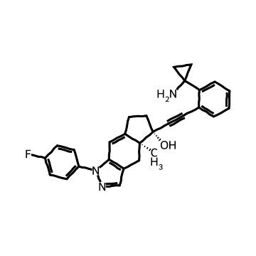 C[C@]12Cc3cnn(-c4ccc(F)cc4)c3C=C1CC[C@@]2(O)C#Cc1ccccc1C1(N)CC1